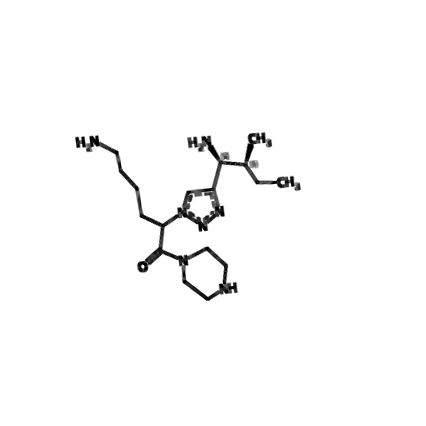 CC[C@H](C)[C@H](N)c1cn(C(CCCCN)C(=O)N2CCNCC2)nn1